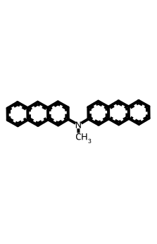 CN(c1ccc2cc3ccccc3cc2c1)c1ccc2cc3ccccc3cc2c1